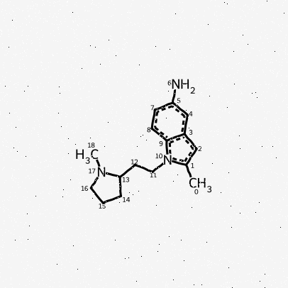 Cc1cc2cc(N)ccc2n1CCC1CCCN1C